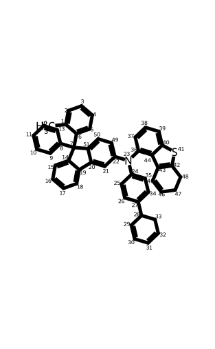 Cc1ccccc1C1(c2ccccc2)c2ccccc2-c2cc(N(c3ccc(C4C=CC=CC4)cc3)c3cccc4sc5c(c34)C=CCC5)ccc21